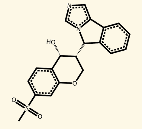 CS(=O)(=O)c1ccc2c(c1)OC[C@@H](C1c3ccccc3-c3cncn31)[C@H]2O